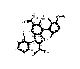 COc1ccc(C)c(-c2c(N)c(C(N)=O)cc3c2nc(C(F)F)n3-c2ncccc2F)c1C